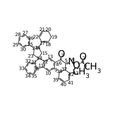 CC(=O)O/N=C(/C(=O)c1ccc2c(c1)C(CCC1=CCCC=C1)(CCc1ccccc1)c1ccccc1-2)C1CC=CC=C1C